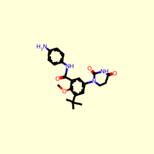 COc1c(C(=O)Nc2ccc(N)cc2)cc(N2CCC(=O)NC2=O)cc1C(C)(C)C